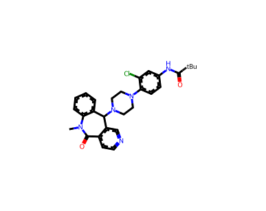 CN1C(=O)c2ccncc2C(N2CCN(c3ccc(NC(=O)C(C)(C)C)cc3Cl)CC2)c2ccccc21